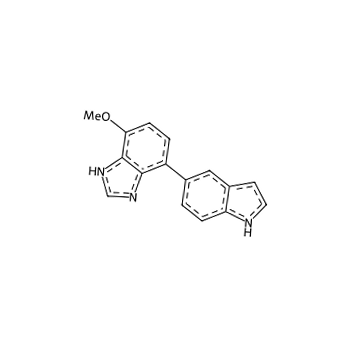 COc1ccc(-c2ccc3[nH]ccc3c2)c2nc[nH]c12